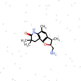 Cc1cc2c(c3c1NC(=O)C(C)(C)C3)O[C@H](CN)[C@H]2C